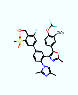 COc1cc(-c2oc(C)nc2-c2cc(-c3cc(F)c(CO)c(S(C)(=O)=O)c3)ccc2-n2cc(C)nc2C)ccc1OC(F)F